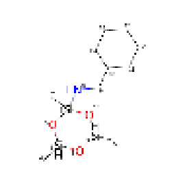 C[SiH]1O[SiH](C)O[Si](C)(NCC2CCCCC2)O1